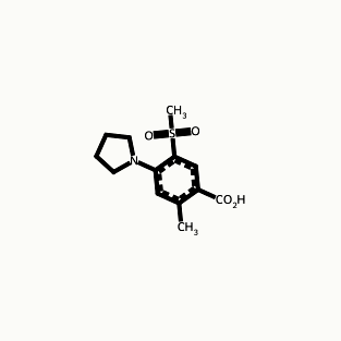 Cc1cc(N2CCCC2)c(S(C)(=O)=O)cc1C(=O)O